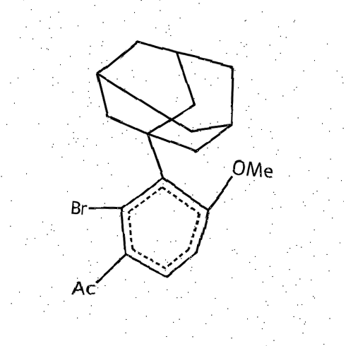 COc1ccc(C(C)=O)c(Br)c1C12CC3CC(CC(C3)C1)C2